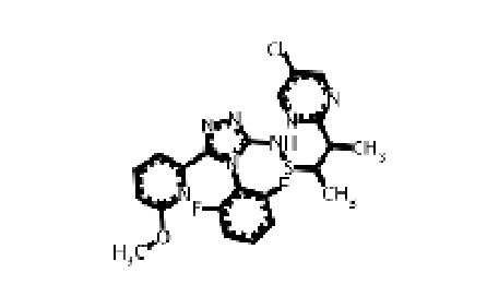 COc1cccc(-c2nnc(NSC(C)C(C)c3ncc(Cl)cn3)n2-c2c(F)cccc2F)n1